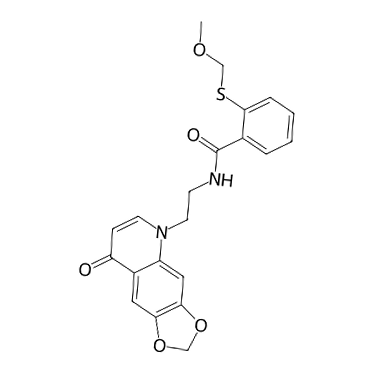 COCSc1ccccc1C(=O)NCCn1ccc(=O)c2cc3c(cc21)OCO3